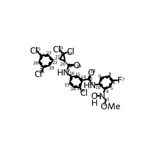 COCN(O)c1cc(F)ccc1NC(=O)c1cc(NC(=O)[C@H]2[C@H](c3cc(Cl)cc(Cl)c3)C2(Cl)Cl)ccc1Cl